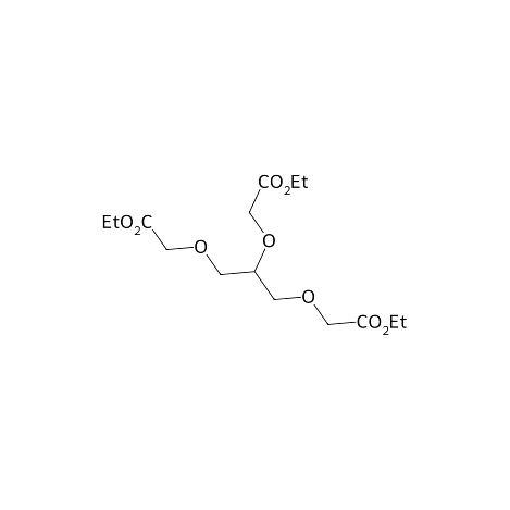 CCOC(=O)COCC(COCC(=O)OCC)OCC(=O)OCC